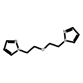 c1cnn(CCOCCn2cccn2)c1